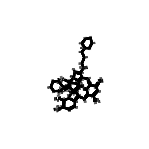 Cc1ccc2c(/N=C3\N/C(=N\c4c(NCCCN5CCCCC5)nn5c(C)c(C)ccc45)C(N)=CC3=N)c(NCCCN3CCCCC3)nn2c1C